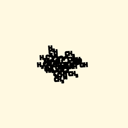 CC(C)CCC(=O)N[C@H](C(=O)N[C@H](C(=O)N[C@@H](CC(C)C)[C@@H](O)CC(=O)N[C@@H](C)C(=O)N[C@@H](CC(C)C)[C@@H](O)CC(=O)O)C(C)C)C(C)C